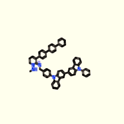 CNn1cccc(-c2ccc(-c3ccc(-c4ccccc4)cc3)cc2)/c1=N/Cc1ccc(-n2c3ccccc3c3cc(-c4ccc5c(c4)c4ccccc4n5-c4ccccc4)ccc32)cc1